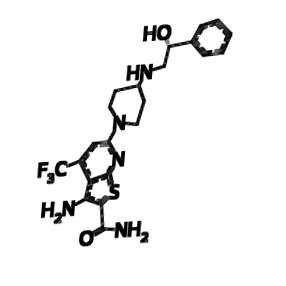 NC(=O)c1sc2nc(N3CCC(NC[C@H](O)c4ccccc4)CC3)cc(C(F)(F)F)c2c1N